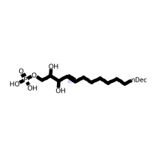 CCCCCCCCCCCCCCCC/C=C/C(O)C(O)COP(=O)(O)O